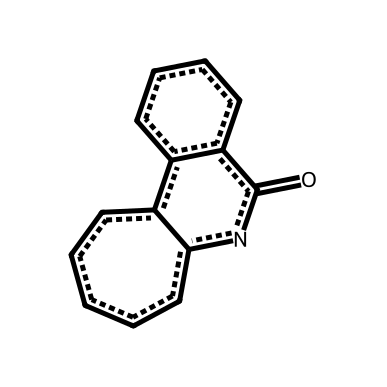 O=c1nc2cccccc-2c2ccccc12